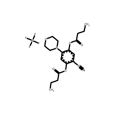 CCCC(=O)Oc1cc(N2CCOCC2)c(OC(=O)CCC)cc1[N+]#N.F[B-](F)(F)F